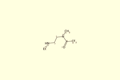 CCNCCN(C)C(=O)C(F)(F)F